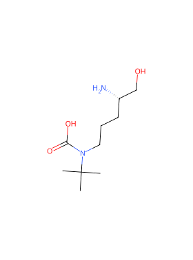 CC(C)(C)N(CCC[C@H](N)CO)C(=O)O